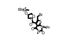 CC(C)n1c(=O)n(C)c(=O)c2c(C(=O)N3C[C@H](O[Si](C)(C)C(C)(C)C)CO3)c(CBr)sc21